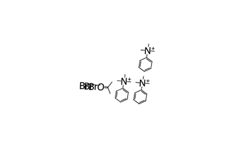 CC(C)=O.C[N+](C)(C)c1ccccc1.C[N+](C)(C)c1ccccc1.C[N+](C)(C)c1ccccc1.[Br-].[Br-].[Br-]